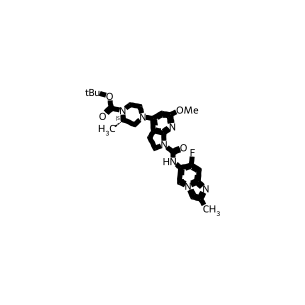 COc1cc(N2CCN(C(=O)OC(C)(C)C)[C@@H](C)C2)c2c(n1)N(C(=O)Nc1cn3cc(C)nc3cc1F)CC2